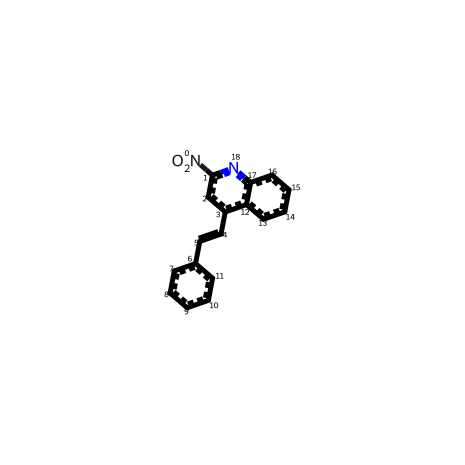 O=[N+]([O-])c1cc(C=Cc2ccccc2)c2ccccc2n1